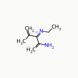 C=C(C)/C(=N/CC)C(=C)N